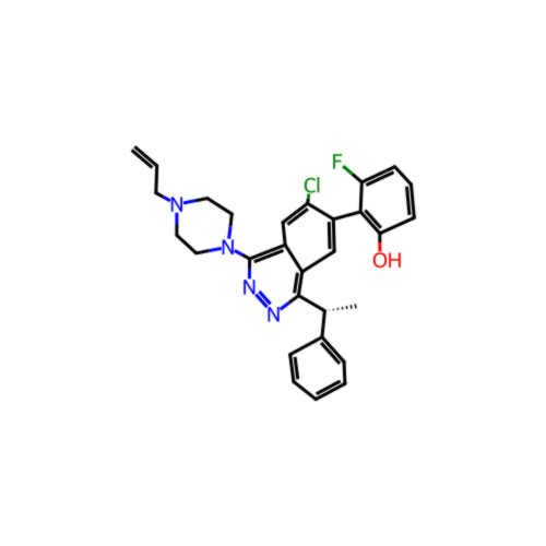 C=CCN1CCN(c2nnc([C@H](C)c3ccccc3)c3cc(-c4c(O)cccc4F)c(Cl)cc23)CC1